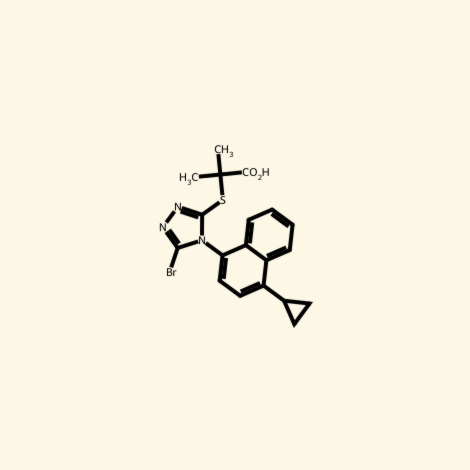 CC(C)(Sc1nnc(Br)n1-c1ccc(C2CC2)c2ccccc12)C(=O)O